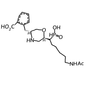 CC(=O)NCCCCCC([C@H]1CN[C@H](Cc2ccccc2C(=O)O)CO1)[PH](=O)O